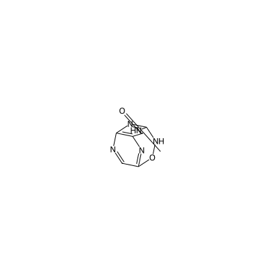 O=c1[nH]c2nc3ncc(nc13)o[nH]2